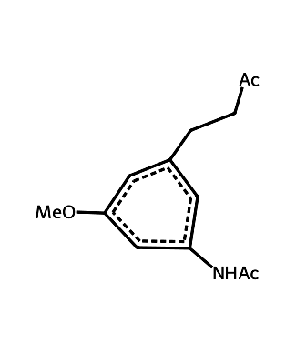 COc1cc(CCC(C)=O)cc(NC(C)=O)c1